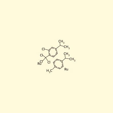 CC(C)c1ccc(C(Cl)(Cl)Cl)c(Cl)c1.Cc1ccc(C(C)C)cc1.[Ru].[Ru]